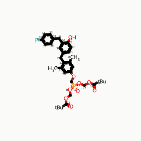 Cc1cc(OCP(=O)(OCOC(=O)C(C)(C)C)OCOC(=O)C(C)(C)C)cc(C)c1Cc1ccc(O)c(Cc2ccc(F)cc2)c1